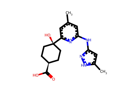 Cc1cc(Nc2cc(C)[nH]n2)nc([C@]2(O)CC[C@@H](C(=O)O)CC2)c1